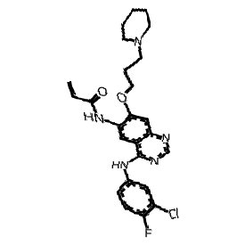 C=CC(=O)Nc1cc2c(Nc3ccc(F)c(Cl)c3)ncnc2cc1OCCCN1CCCCC1